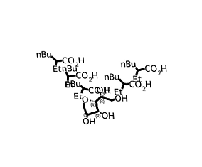 CCCCC(CC)C(=O)O.CCCCC(CC)C(=O)O.CCCCC(CC)C(=O)O.CCCCC(CC)C(=O)O.CCCCC(CC)C(=O)O.OC[C@@H](O)[C@H]1OC[C@H](O)[C@H]1O